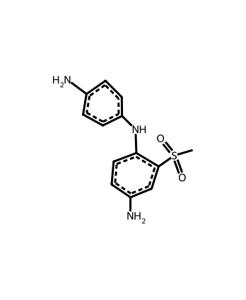 CS(=O)(=O)c1cc(N)ccc1Nc1ccc(N)cc1